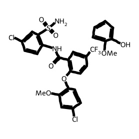 COc1cc(Cl)ccc1Oc1ccc(C(F)(F)F)cc1C(=O)Nc1ccc(Cl)cc1S(N)(=O)=O.COc1ccccc1O